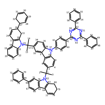 CC(C)(c1ccc2c(c1)c1cc(C(C)(C)n3c4c(c5ccccc53)C=CC(C3C=CC=CC3)C4)ccc1n2-c1ccc(-c2nc(-c3ccccc3)nc(-c3ccccc3)n2)cc1)n1c2c(c3ccc(-c4ccccc4)cc31)C=CCC2